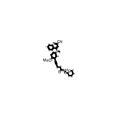 COc1ccc(N(C)c2cc(C#N)nc3ccccc23)cc1C#CCCC(=O)NOC1CCCCO1